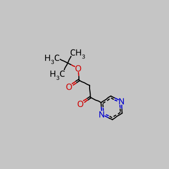 CC(C)(C)OC(=O)CC(=O)c1cnccn1